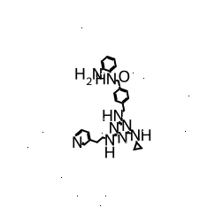 Nc1ccccc1NC(=O)c1ccc(CNc2nc(NCCc3cccnc3)nc(NC3CC3)n2)cc1